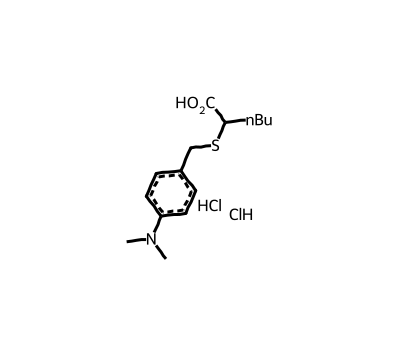 CCCCC(SCc1ccc(N(C)C)cc1)C(=O)O.Cl.Cl